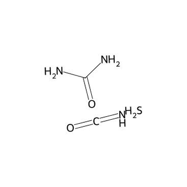 N=C=O.NC(N)=O.S